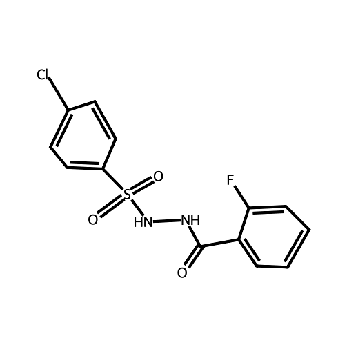 O=C(NNS(=O)(=O)c1ccc(Cl)cc1)c1ccccc1F